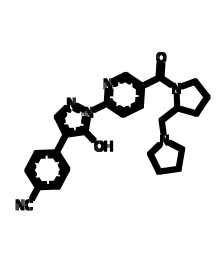 N#Cc1ccc(-c2cnn(-c3ccc(C(=O)N4CCCC4CN4CCCC4)cn3)c2O)cc1